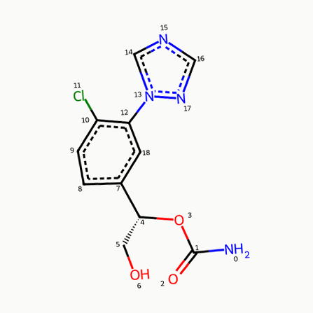 NC(=O)O[C@H](CO)c1ccc(Cl)c(-n2cncn2)c1